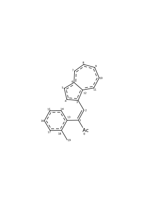 CC(=O)C(=Cc1ccc2cccccc1-2)c1ccccc1C